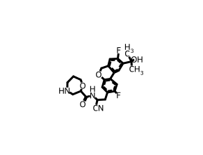 CC(C)(O)c1cc2c(cc1F)COc1cc(CC(C#N)NC(=O)C3CNCCCO3)c(F)cc1-2